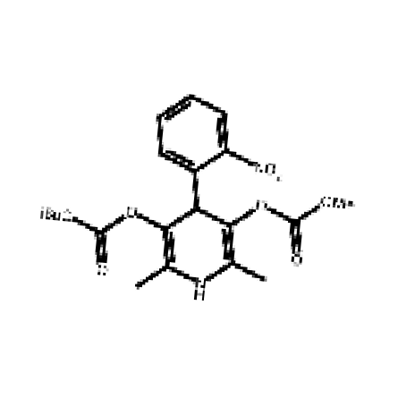 COC(=O)OC1=C(C)NC(C)=C(OC(=O)OCC(C)C)C1c1ccccc1[N+](=O)[O-]